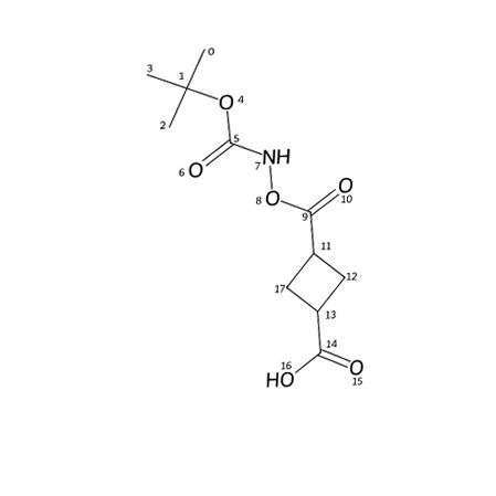 CC(C)(C)OC(=O)NOC(=O)C1CC(C(=O)O)C1